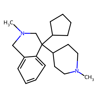 CN1CCC(C2(C3CCCC3)CN(C)Cc3ccccc32)CC1